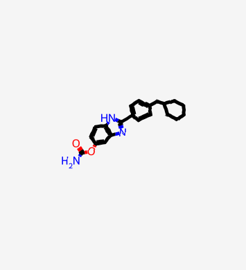 NC(=O)Oc1ccc2[nH]c(-c3ccc(CC4CCCCC4)cc3)nc2c1